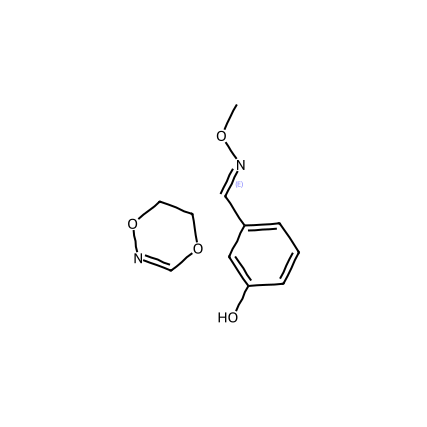 C1=NOCCO1.CO/N=C/c1cccc(O)c1